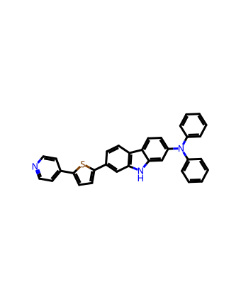 c1ccc(N(c2ccccc2)c2ccc3c(c2)[nH]c2cc(-c4ccc(-c5ccncc5)s4)ccc23)cc1